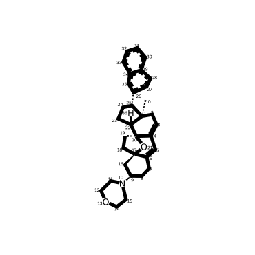 C[C@]12CC=C3C=C4CC[C@H](N5CCOCC5)C[C@]45CC[C@]3(O5)[C@@H]1CC[C@@H]2c1ccc2ccccc2c1